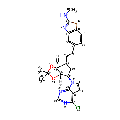 CNc1nc2cc(CC[C@H]3C[C@@H](n4ccc5c(Cl)ncnc54)[C@@H]4OC(C)(C)O[C@H]34)ccc2s1